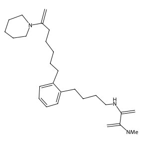 C=C(NC)C(=C)NCCCCc1ccccc1CCCCCC(=C)N1CCCCC1